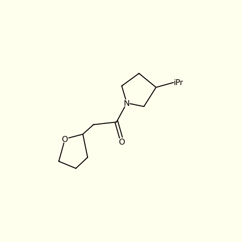 CC(C)C1CCN(C(=O)CC2CCCO2)C1